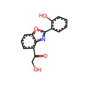 O=C(CO)c1cccc2oc(-c3ccccc3O)nc12